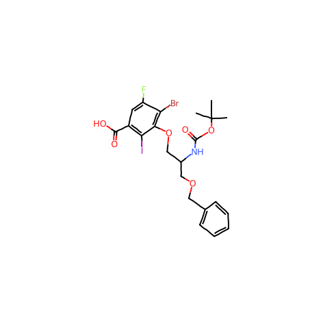 CC(C)(C)OC(=O)NC(COCc1ccccc1)COc1c(Br)c(F)cc(C(=O)O)c1I